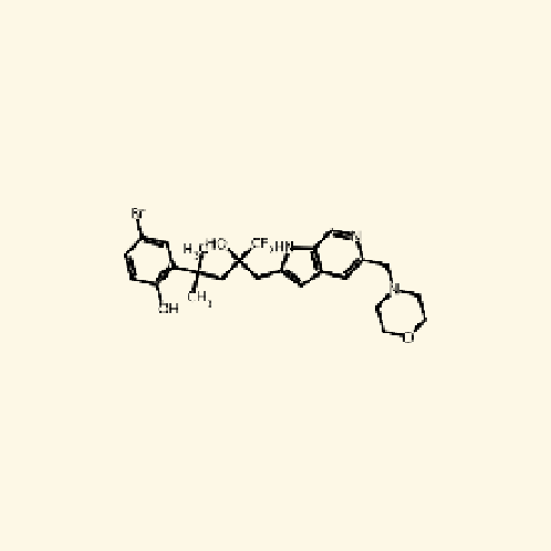 CC(C)(CC(O)(Cc1cc2cc(CN3CCOCC3)ncc2[nH]1)C(F)(F)F)c1cc(Br)ccc1O